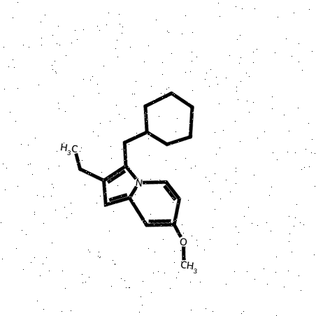 CCc1cc2cc(OC)ccn2c1CC1CCCCC1